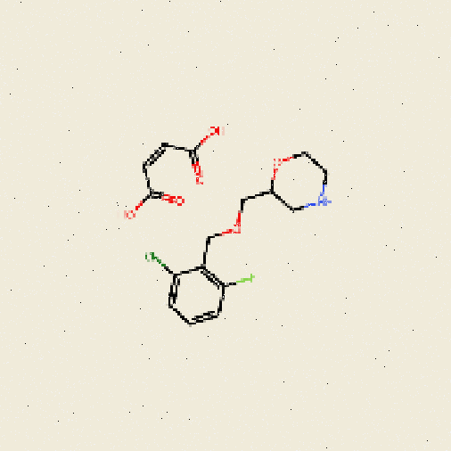 Fc1cccc(Cl)c1COCC1CNCCO1.O=C(O)/C=C\C(=O)O